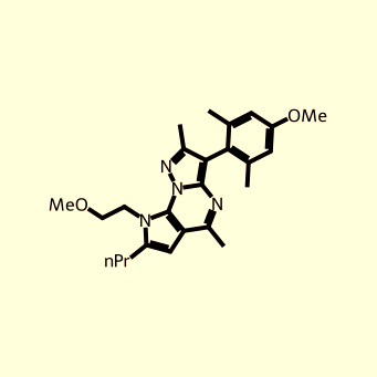 CCCc1cc2c(C)nc3c(-c4c(C)cc(OC)cc4C)c(C)nn3c2n1CCOC